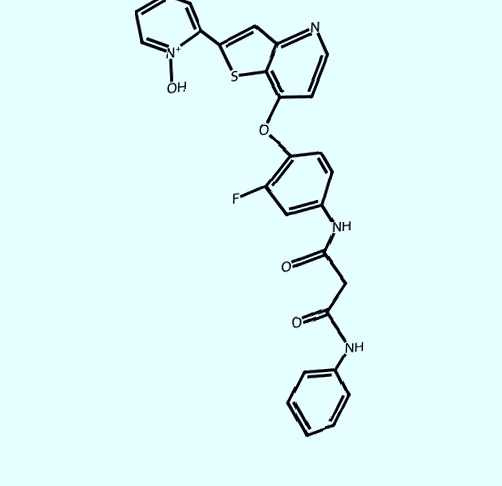 O=C(CC(=O)Nc1ccc(Oc2ccnc3cc(-c4cccc[n+]4O)sc23)c(F)c1)Nc1ccccc1